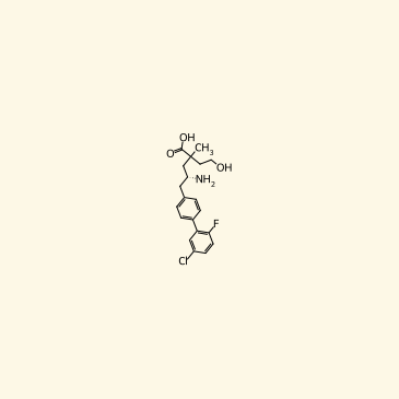 CC(CCO)(C[C@H](N)Cc1ccc(-c2cc(Cl)ccc2F)cc1)C(=O)O